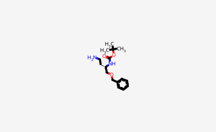 CC(C)(C)OC(=O)N[C@@H](CCN)COCc1ccccc1